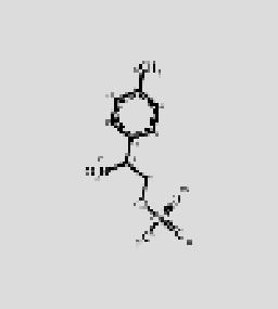 Cc1ccc(C(COS(C)(=O)=O)[N+](=O)[O-])cc1